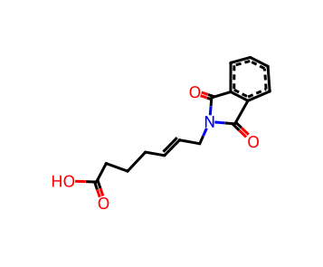 O=C(O)CCCC=CCN1C(=O)c2ccccc2C1=O